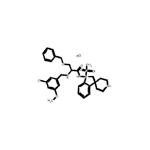 COc1cc(Cl)cc(CNC(COCc2ccccc2)C(=O)N[N+]2(S(C)(=O)=O)CC3(CCNCC3)c3ccccc32)c1.Cl